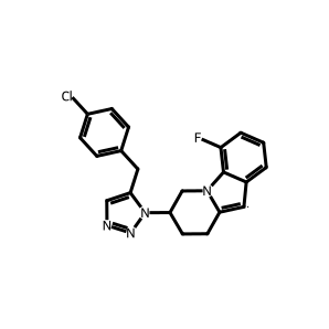 Fc1cccc2[c]c3n(c12)CC(n1nncc1Cc1ccc(Cl)cc1)CC3